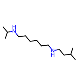 CC(C)CCNCCCCCCNC(C)C